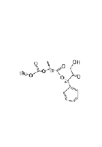 C[C@H](OC(=O)OC(C)(C)C)C(=O)O[C@H](C(=O)CO)c1ccccc1